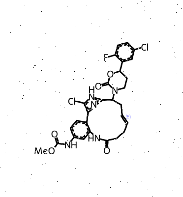 COC(=O)Nc1ccc2c(c1)NC(=O)CC/C=C/CC(N1CCC(c3cc(Cl)ccc3F)OC1=O)c1nc-2c(Cl)[nH]1